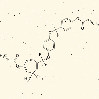 C=CC(=O)OC1=CC(C)(C)C=C(C(F)(F)Oc2ccc(OC(F)(F)c3ccc(OC(=O)C=C)cc3)cc2)C=C1